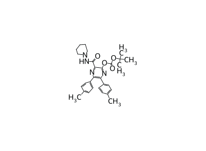 Cc1ccc(-c2nc(OC(=O)OC(C)(C)C)c(C(=O)NN3CCCCC3)nc2-c2ccc(C)cc2)cc1